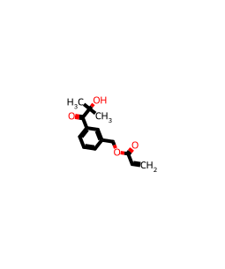 C=CC(=O)OCc1cccc(C(=O)C(C)(C)O)c1